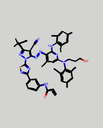 C=CC(=O)Nc1cccc(-c2nsc(-n3nc(C(C)(C)C)c(C#N)c3N=Nc3c(C)cc(N(CCCO)c4c(C)cc(C)cc4C)nc3Nc3c(C)cc(C)cc3C)n2)c1